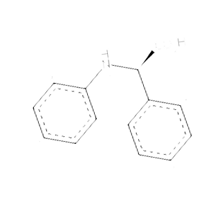 O=C(O)[C@H](Nc1ccccc1)c1ccccc1